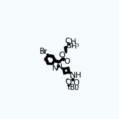 CBCCOC(=O)c1c2cc(Br)ccc2nn1C1CC(NC(=O)OC(C)(C)C)C1